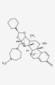 CN1CCCN(CC(=O)[C@@]23O[C@H](C4CCCCC4)O[C@H]2C[C@H]2[C@@H]4CCC5=CC(=O)C=C[C@]5(C)[C@H]4[C@@H](O)C[C@@]23C)CC1